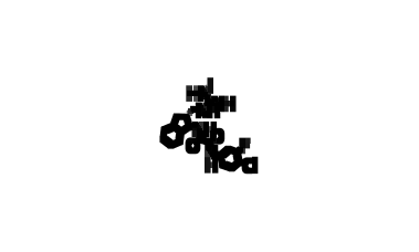 N=C(NI)NC[C@H]1Cc2ccccc2[C@@H]1NC(=O)C(=O)Nc1ccc(Cl)c(F)c1